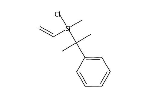 C=C[Si](C)(Cl)C(C)(C)c1ccccc1